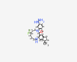 NNc1cccc(N2CCC(F)(F)CCCNc3cc4c(cc3C2=O)CCC4C(F)(F)F)c1